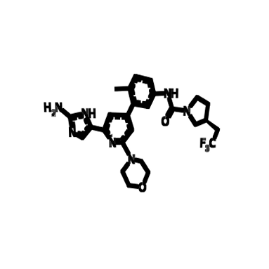 Cc1ccc(NC(=O)N2CC[C@@H](CC(F)(F)F)C2)cc1-c1cc(-c2cnc(N)[nH]2)nc(N2CCOCC2)c1